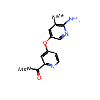 CNC(=O)c1cc(Oc2cnc(N)c(NC)c2)ccn1